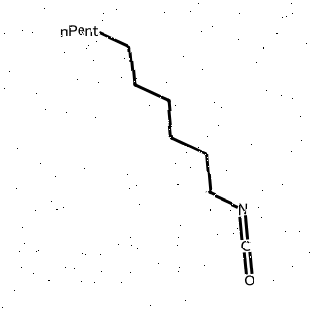 CCCCCCCCCC[CH]N=C=O